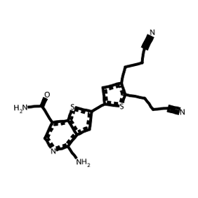 N#CCCc1cc(-c2cc3c(N)ncc(C(N)=O)c3s2)sc1CCC#N